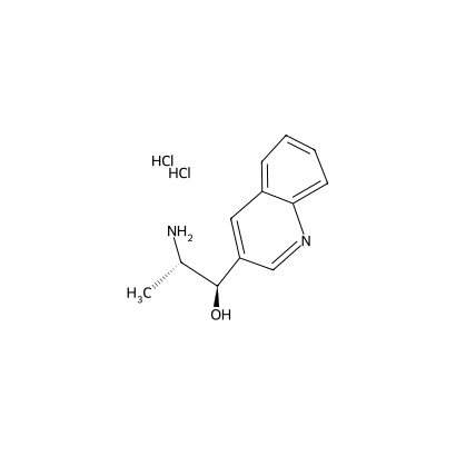 C[C@H](N)[C@H](O)c1cnc2ccccc2c1.Cl.Cl